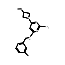 CNC1CN(c2cc(NCc3cccc(F)c3)nc(N)n2)C1